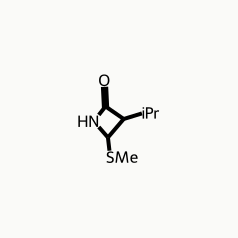 CSC1NC(=O)C1C(C)C